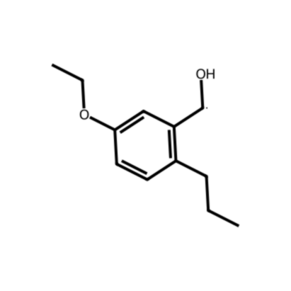 CCCc1ccc(OCC)cc1[CH]O